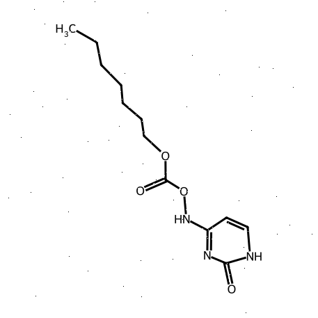 CCCCCCCOC(=O)ONc1cc[nH]c(=O)n1